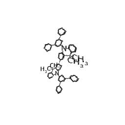 CC1(C)c2ccccc2N(c2cc(-c3ccccc3)cc(-c3ccccc3)c2)c2ccc(-c3ccc4c(c3)C(C)(C)c3ccccc3N4c3cc(-c4ccccc4)cc(-c4ccccc4)c3)cc21